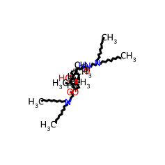 CCCCCCCCCCN(CCCCCCCCCC)CCCNC(=O)CC[C@@H](C)[C@H]1CC[C@H]2[C@@H]3[C@H](O)[C@H](CC)[C@@H]4C[C@H](OC(=O)CCCN(CCCCCCCCCC)CCCCCCCCCC)CC[C@]4(C)[C@H]3CC[C@]12C